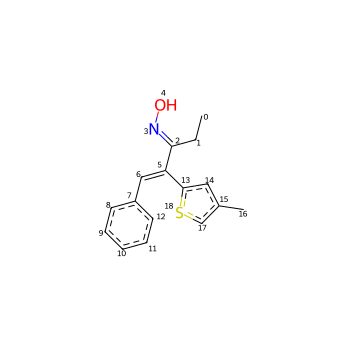 CCC(=NO)C(=Cc1ccccc1)c1cc(C)cs1